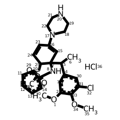 COc1cc(C(C)C2(Nc3ccccc3)C=C(N3CCNCC3)C=CC2S(C)(=O)=O)cc(Cl)c1OC.Cl